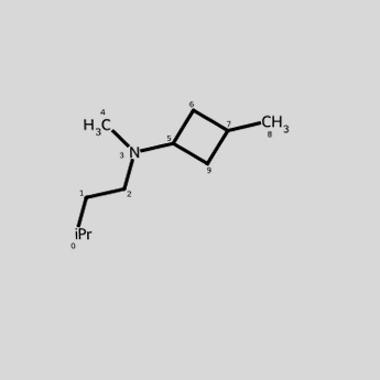 CC(C)CCN(C)C1CC(C)C1